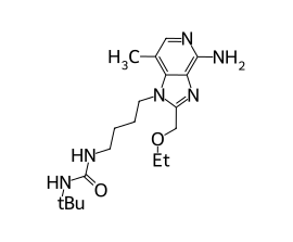 CCOCc1nc2c(N)ncc(C)c2n1CCCCNC(=O)NC(C)(C)C